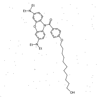 CCN(CC)c1ccc2c(c1)Oc1cc(N(CC)CC)ccc1N2C(=O)c1ccc(OCCCCCCCCCCCO)cc1